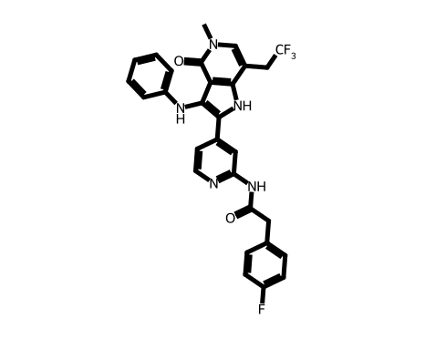 Cn1cc(CC(F)(F)F)c2[nH]c(-c3ccnc(NC(=O)Cc4ccc(F)cc4)c3)c(Nc3ccccc3)c2c1=O